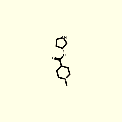 CN1CCC(C(=O)O[C@@H]2CCNC2)CC1